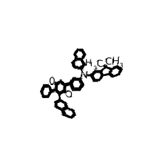 CC1(C)c2ccccc2-c2ccc(N(c3ccc4ccccc4c3)c3ccc4oc5c(-c6ccc7ccccc7c6)c6c(cc5c4c3)oc3ccccc36)cc21